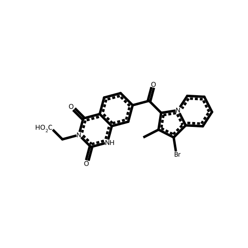 Cc1c(Br)c2ccccn2c1C(=O)c1ccc2c(=O)n(CC(=O)O)c(=O)[nH]c2c1